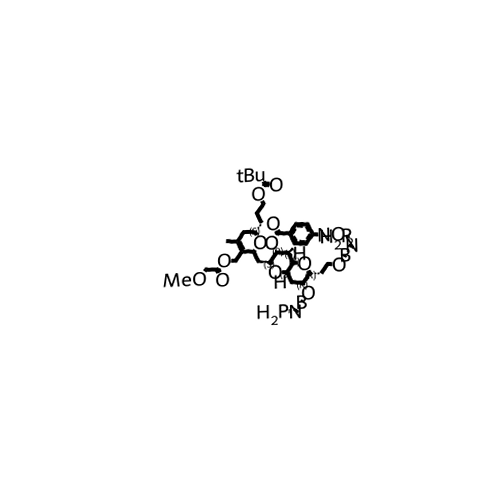 COCC(=O)OCC1=C(C)C[C@H](CCCOC(=O)C(C)(C)C)OC1C[C@@H]1O[C@H]2C[C@@H](OB=NP)[C@@H](CCOB=NP)O[C@H]2[C@H](C)[C@H]1OC(=O)c1ccc([N+](=O)[O-])cc1